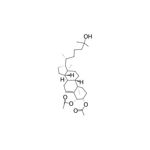 CC(=O)O[C@H]1CC[C@@]2(C)C(=CC[C@H]3[C@@H]4CC[C@H]([C@H](C)CCCC(C)(C)O)[C@@]4(C)CC[C@@H]32)[C@H]1OC(C)=O